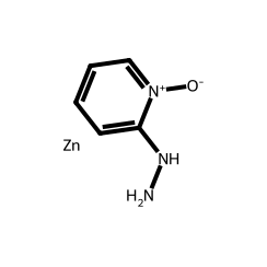 NNc1cccc[n+]1[O-].[Zn]